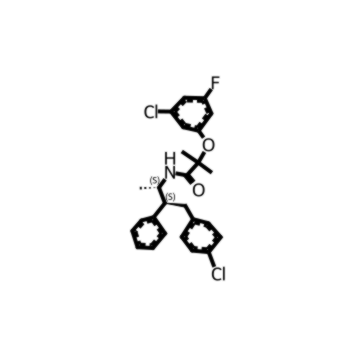 C[C@H](NC(=O)C(C)(C)Oc1cc(F)cc(Cl)c1)[C@@H](Cc1ccc(Cl)cc1)c1ccccc1